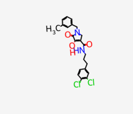 Cc1cccc(CN2CC(C(=O)NCCCc3ccc(Cl)c(Cl)c3)=C(O)C2=O)c1